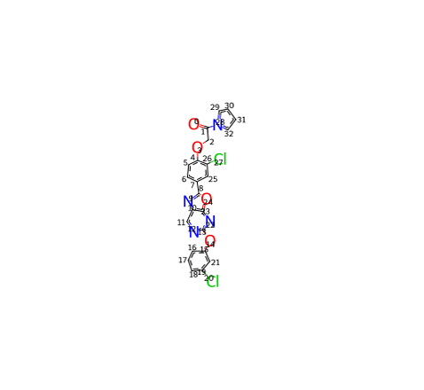 O=C(COc1ccc(-c2nc3cnc(Oc4cccc(Cl)c4)nc3o2)cc1Cl)n1cccc1